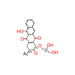 CC(=O)[C@H]1CC2=C(C(=O)c3cc4ccccc4c(O)c3C2=O)[C@H](OC[C@@H](O)CO)C1=O